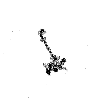 CC(C)(C)[C@H](c1cc(-c2cc(F)ccc2F)cn1Cc1ccccc1)N(CCCNC(=O)[C@H](CC(N)=O)NC(=O)Cc1ccncc1)C(=O)CSC[C@H](NC(=O)CCOCCOCCOCCOCCNC(=O)CCCC(=O)ON1C(=O)CCC1=O)C(=O)O